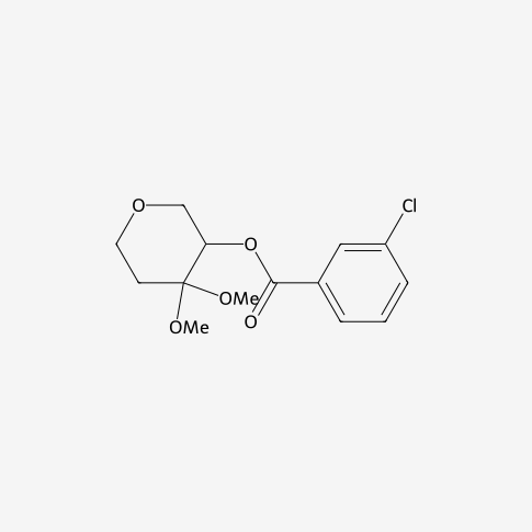 COC1(OC)CCOCC1OC(=O)c1cccc(Cl)c1